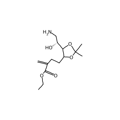 C=C(CCC1OC(C)(C)OC1[C@H](O)CN)C(=O)OCC